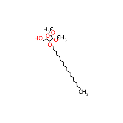 CCCCCCCCCCCCCCCCCCO[C@@H]1[C@@H](OC)[C@@H](OC)O[C@@H]1CO